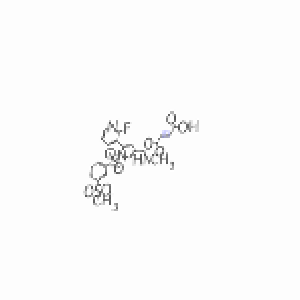 CNC(OC(=O)/C=C/C(=O)O)c1cc(-c2cccnc2F)n(S(=O)(=O)c2cccc(S(C)(=O)=O)c2)c1